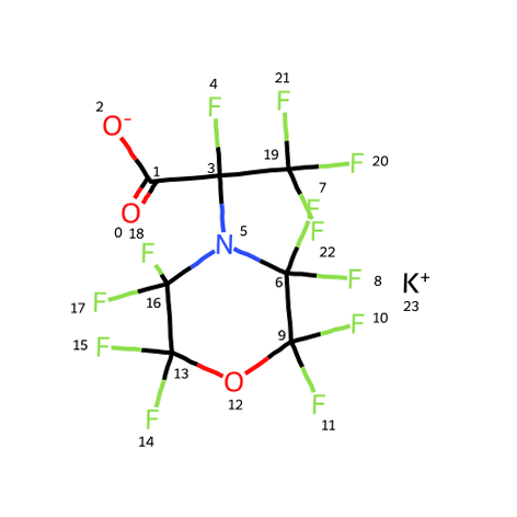 O=C([O-])C(F)(N1C(F)(F)C(F)(F)OC(F)(F)C1(F)F)C(F)(F)F.[K+]